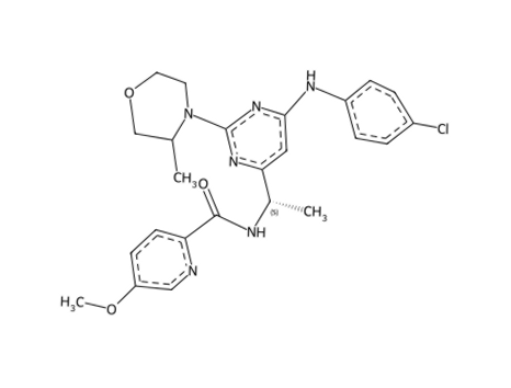 COc1ccc(C(=O)N[C@@H](C)c2cc(Nc3ccc(Cl)cc3)nc(N3CCOCC3C)n2)nc1